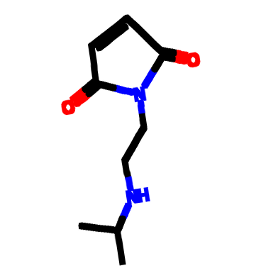 CC(C)NCCN1C(=O)C=CC1=O